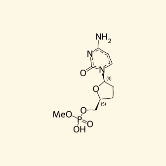 COP(=O)(O)OC[C@@H]1CC[C@H](n2ccc(N)nc2=O)O1